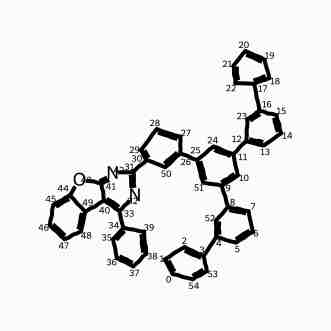 c1ccc(-c2cccc(-c3cc(-c4cccc(-c5ccccc5)c4)cc(-c4cccc(-c5nc(-c6ccccc6)c6c(n5)oc5ccccc56)c4)c3)c2)cc1